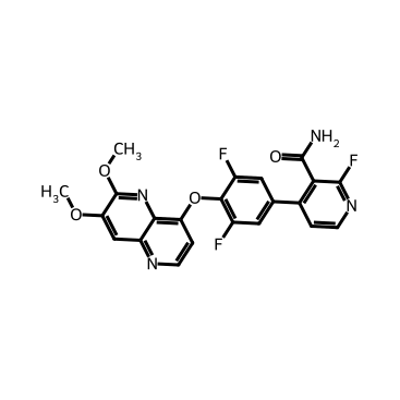 COc1cc2nccc(Oc3c(F)cc(-c4ccnc(F)c4C(N)=O)cc3F)c2nc1OC